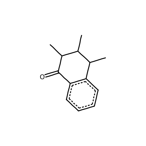 CC1C(=O)c2ccccc2C(C)C1C